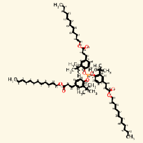 CCCCCCCCCCCCOC(=O)CCc1ccc(OP(Oc2ccc(CCC(=O)OCCCCCCCCCCCC)cc2C(C)(C)C)Oc2ccc(CCC(=O)OCCCCCCCCCCCC)cc2C(C)(C)C)c(C(C)(C)C)c1